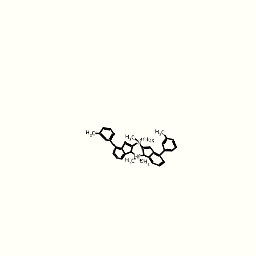 CCCCCC[Si]1(C)C2=Cc3c(-c4cccc(C)c4)cccc3[CH]2[Hf]([CH3])([CH3])[CH]2C1=Cc1c(-c3cccc(C)c3)cccc12